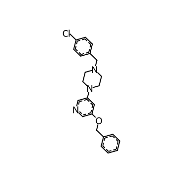 Clc1ccc(CN2CCN(c3cncc(OCc4ccccc4)c3)CC2)cc1